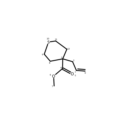 C=CCC1(C(=O)OC)CCSCC1